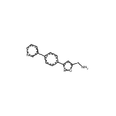 NCc1cc(-c2ccc(-c3cccnc3)cc2)no1